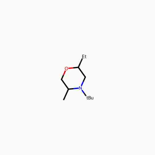 CCC1CN(C(C)(C)C)C(C)CO1